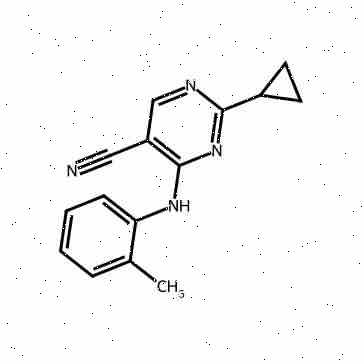 Cc1ccccc1Nc1nc(C2CC2)ncc1C#N